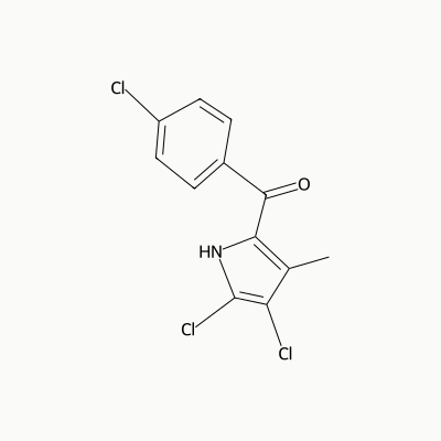 Cc1c(C(=O)c2ccc(Cl)cc2)[nH]c(Cl)c1Cl